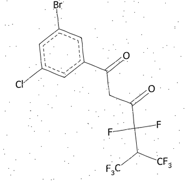 O=C(CC(=O)C(F)(F)C(C(F)(F)F)C(F)(F)F)c1cc(Cl)cc(Br)c1